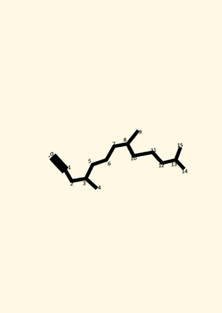 [C]#CCC(C)CCCC(C)CCCC(C)C